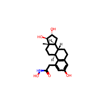 C[C@]12CC[C@@H]3c4c(cc(O)cc4CC(=O)NO)CC[C@H]3[C@@H]1C[C@@H](O)[C@@H]2O